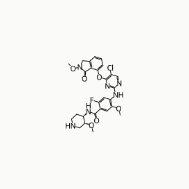 COc1cc(C(=O)N[C@@H]2CCNC[C@@H]2OC)c(F)cc1Nc1ncc(Cl)c(Oc2cccc3c2C(=O)N(OC)C3)n1